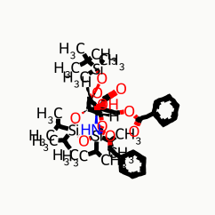 CC(C)[Si]1(C(C)C)O[C@H]2[C@](O)(COC(=O)c3ccccc3)[C@H](O[Si](C)(C)C(C)(C)C)[C@H]3OC(=O)C[C@@H](NOCc4ccccc4)[C@]32O[Si](C(C)C)(C(C)C)O1